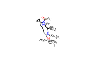 CC(C)CC(N(C(=O)O)[C@@H](CCC[C@@H](N[S@+]([O-])C(C)(C)C)C1CC1)CO[Si](C)(C)C(C)(C)C)C(C)(C)C